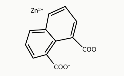 O=C([O-])c1cccc2cccc(C(=O)[O-])c12.[Zn+2]